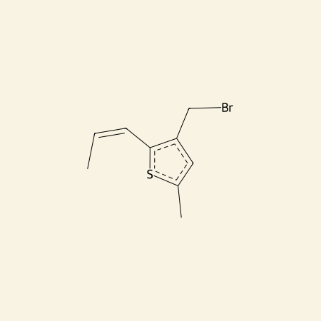 C/C=C\c1sc(C)cc1CBr